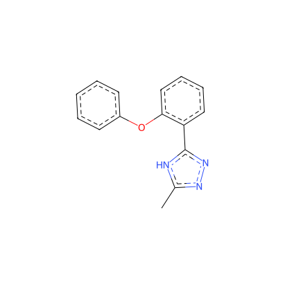 Cc1nnc(-c2ccccc2Oc2ccccc2)[nH]1